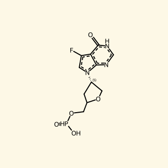 O=c1[nH]cnc2c1c(F)cn2[C@@H]1COC(CO[PH](=O)O)C1